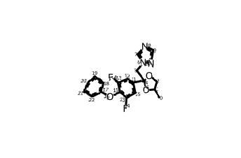 CC1COC(Cn2cncn2)(c2cc(F)c(Oc3ccccc3)c(F)c2)O1